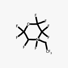 FC1C(F)(F)OC(F)(F)C(F)(F)[N+]1(F)CC(F)(F)F